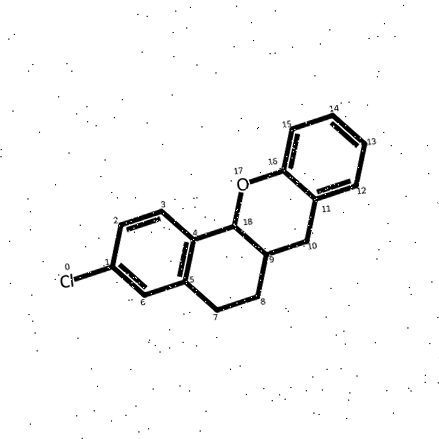 Clc1ccc2c(c1)CCC1Cc3ccccc3OC21